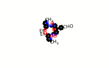 CCOc1cc(NCc2c3oc4c(CNc5cc(OCC)cc6ccc(C)nc56)c(O)ccc4c(-c4ccc(C=O)cc4)c-3ccc2=O)c2nc(C)ccc2c1